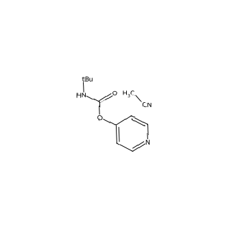 CC#N.CC(C)(C)NC(=O)Oc1ccncc1